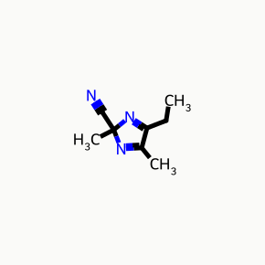 CCC1=NC(C)(C#N)N=C1C